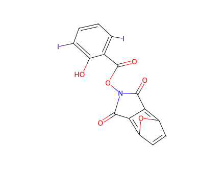 O=C(ON1C(=O)c2c(c3ccc2o3)C1=O)c1c(I)ccc(I)c1O